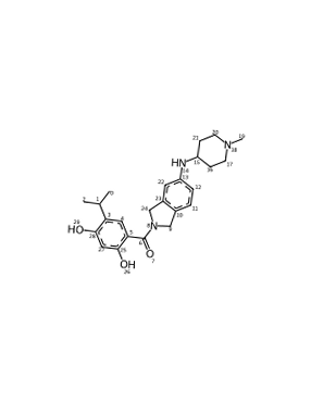 CC(C)c1cc(C(=O)N2Cc3ccc(NC4CCN(C)CC4)cc3C2)c(O)cc1O